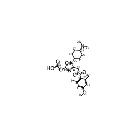 COc1cc(C)c(S(=O)(=O)CC2=NC(OC(=O)O)ON2C2CCC(N(C)C)CC2)c(C)c1